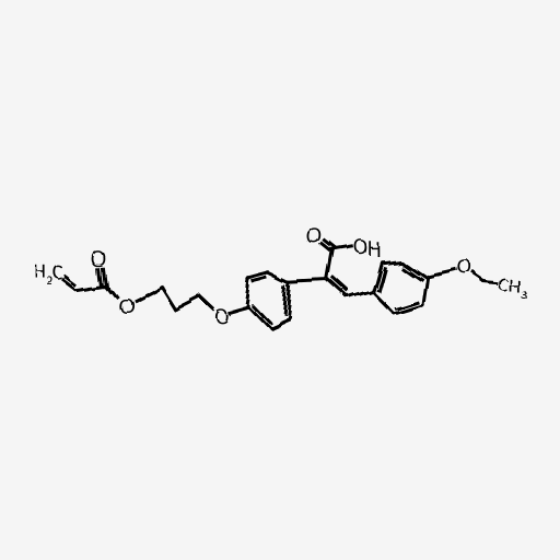 C=CC(=O)OCCCOc1ccc(C(=Cc2ccc(OCC)cc2)C(=O)O)cc1